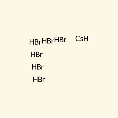 Br.Br.Br.Br.Br.Br.[CsH]